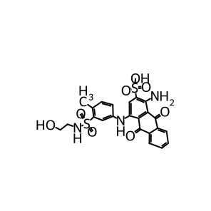 Cc1ccc(Nc2cc(S(=O)(=O)O)c(N)c3c2C(=O)c2ccccc2C3=O)cc1S(=O)(=O)NCCO